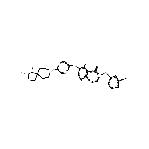 C[C@@H]1OCC2(CCN(c3cnc(Sc4ccc5ncn(Cc6cccc(F)c6)c(=O)c5c4Cl)cn3)CC2)[C@@H]1N